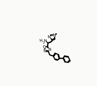 Cn1cnc(CC(N)c2nc(Cc3ccc(-c4ccccc4)cc3)no2)c1